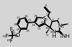 C=CC[C@H]1CN(C)C(=N)N[C@]1(C)c1cc(-c2cccc(OC(F)(F)F)c2)cs1